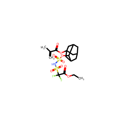 C=C(C)C(=O)OC12CC3CC(C1)C(OS(=O)(=O)NS(=O)(=O)C(F)(F)C(=O)OCC)C(C3)C2